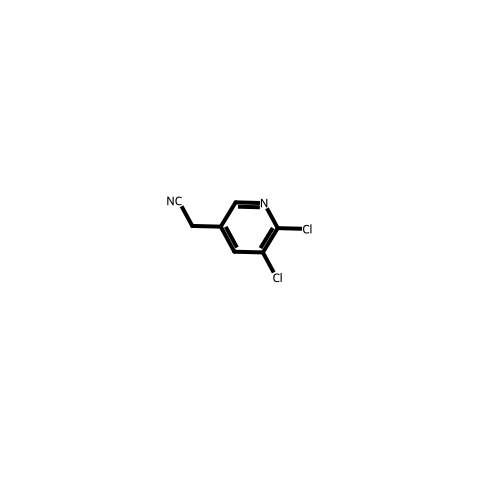 N#CCc1cnc(Cl)c(Cl)c1